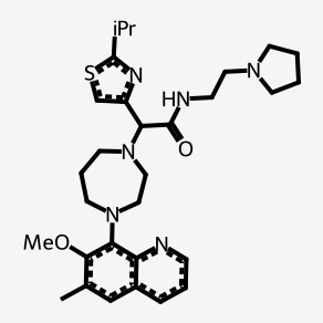 COc1c(C)cc2cccnc2c1N1CCCN(C(C(=O)NCCN2CCCC2)c2csc(C(C)C)n2)CC1